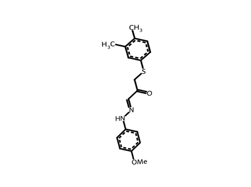 COc1ccc(NN=CC(=O)CSc2ccc(C)c(C)c2)cc1